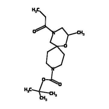 CCC(=O)N1CC(C)OC2(CCN(C(=O)OC(C)(C)C)CC2)C1